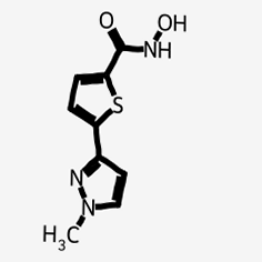 Cn1ccc(-c2ccc(C(=O)NO)s2)n1